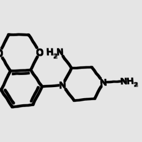 NC1CN(N)CCN1c1cccc2c1OCCO2